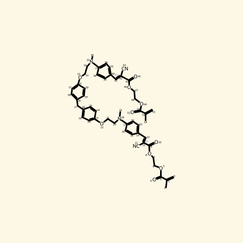 C=C(C)C(=O)OCCOC(=O)/C(C#N)=C/c1ccc(N(C)CCOc2ccc(Cc3ccc(OCCN(C)c4ccc(/C=C(\C#N)C(=O)OCCOC(=O)C(=C)C)cc4)cc3)cc2)cc1